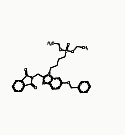 CCOP(=O)(CCCCn1c(CN2C(=O)c3ccccc3C2=O)nc2ccc(OCc3ccccc3)cc21)OCC